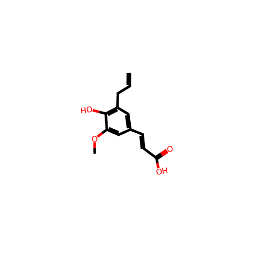 C=CCc1cc(C=CC(=O)O)cc(OC)c1O